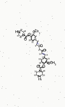 COc1cc(/C=C/C(=O)CC(=O)/C=C/c2ccc(OC(=O)N3CCNCC3)c(OC)c2)ccc1OC(=O)N1CCNCC1